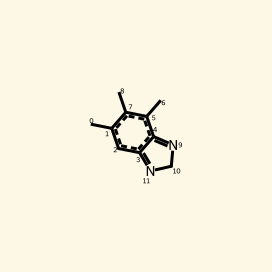 Cc1cc2c(c(C)c1C)=NCN=2